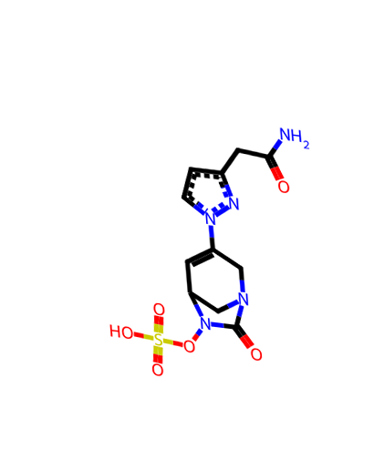 NC(=O)Cc1ccn(C2=CC3CN(C2)C(=O)N3OS(=O)(=O)O)n1